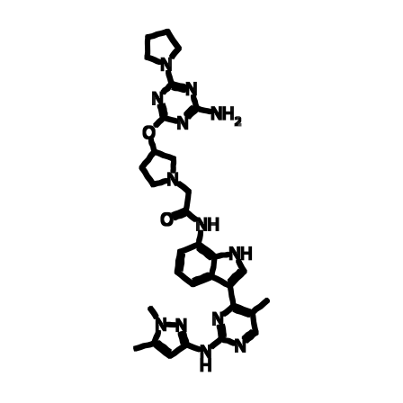 Cc1cnc(Nc2cc(C)n(C)n2)nc1-c1c[nH]c2c(NC(=O)CN3CCC(Oc4nc(N)nc(N5CCCC5)n4)C3)cccc12